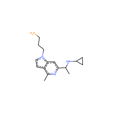 Cc1nc(C(C)NC2CC2)cc2c1ccn2CCCP